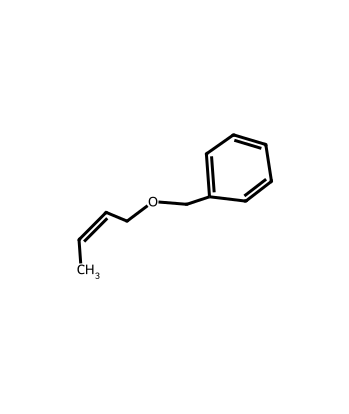 C/C=C\COCc1ccccc1